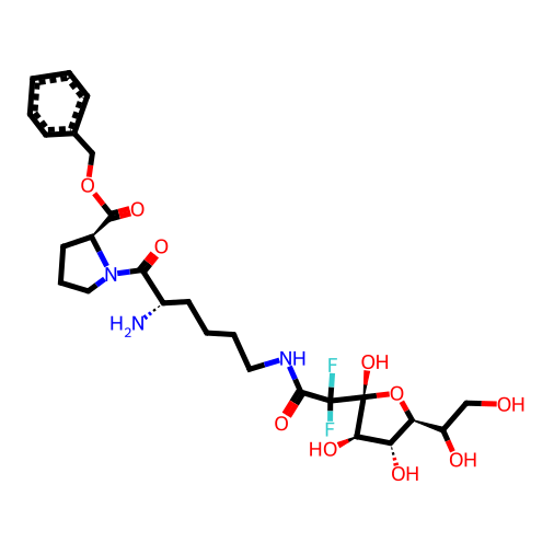 N[C@@H](CCCCNC(=O)C(F)(F)[C@]1(O)O[C@@H](C(O)CO)[C@H](O)[C@H]1O)C(=O)N1CCC[C@H]1C(=O)OCc1ccccc1